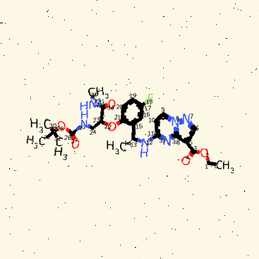 CCOC(=O)c1cnn2ccc(N[C@H](C)c3cc(F)ccc3OC(CNC(=O)OC(C)(C)C)C(=O)NC)nc12